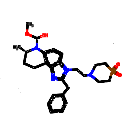 COC(O)N1c2ccc3c(nc(Cc4ccccc4)n3CCN3CCS(=O)(=O)CC3)c2CC[C@@H]1C